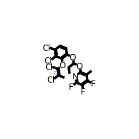 CCC(Oc1ccc(Cl)c(Cl)c1O/C(Cl)=C(\C)Cl)Oc1nc(F)c(F)c(F)c1C